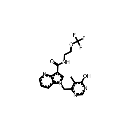 Cc1c(O)ncnc1Cn1cc(C(=O)NCCOC(F)(F)F)c2ncccc21